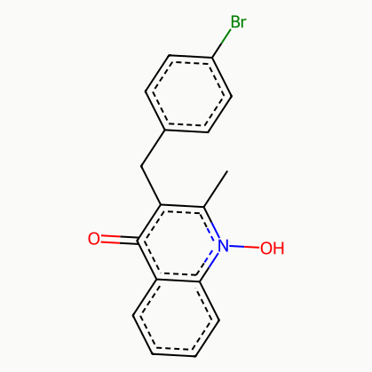 Cc1c(Cc2ccc(Br)cc2)c(=O)c2ccccc2n1O